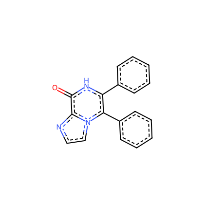 O=c1[nH]c(-c2ccccc2)c(-c2ccccc2)n2ccnc12